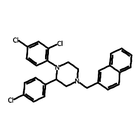 Clc1ccc(C2CN(Cc3ccc4ccccc4c3)CCN2c2ccc(Cl)cc2Cl)cc1